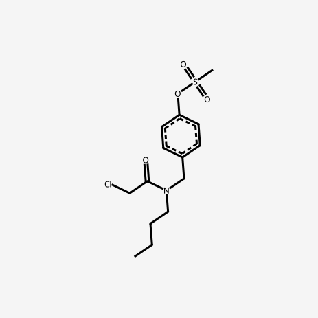 CCCCN(Cc1ccc(OS(C)(=O)=O)cc1)C(=O)CCl